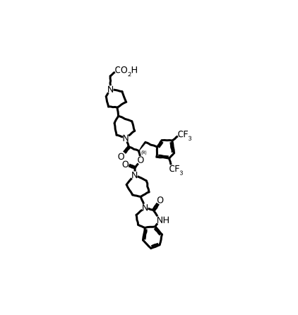 O=C(O)CN1CCC(C2CCN(C(=O)[C@@H](Cc3cc(C(F)(F)F)cc(C(F)(F)F)c3)OC(=O)N3CCC(N4CCc5ccccc5NC4=O)CC3)CC2)CC1